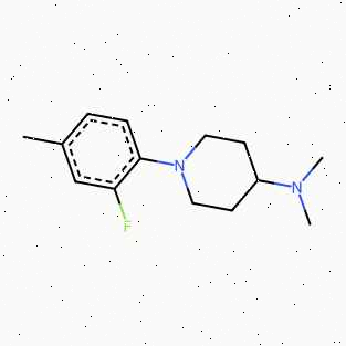 Cc1ccc(N2CCC(N(C)C)CC2)c(F)c1